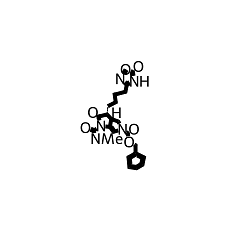 CNC(=O)N1C(=O)[C@H](CCCCc2noc(=O)[nH]2)[C@H]2CN(C(=O)OCc3ccccc3)C=C21